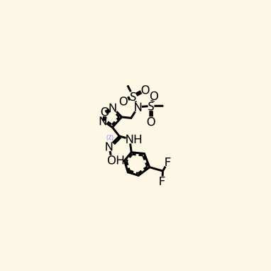 CS(=O)(=O)N(Cc1nonc1/C(=N/O)Nc1cccc(C(F)F)c1)S(C)(=O)=O